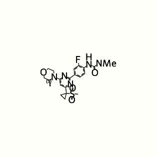 CNC(=O)Nc1ccc(-c2nc(N3CCOC[C@@H]3C)cc(C3(S(C)(=O)=O)CC3)n2)cc1F